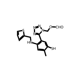 Cc1cc(NCc2cccs2)c(-c2nnnn2COC=O)cc1S